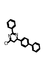 ClC1=NC(c2ccccc2)=NC(c2ccc(-c3ccccc3)cc2)C1